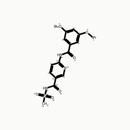 CC(C)COc1cc(OC(C)C)cc(C(=O)Nc2ccc(C(=O)NS(C)(=O)=O)cn2)c1